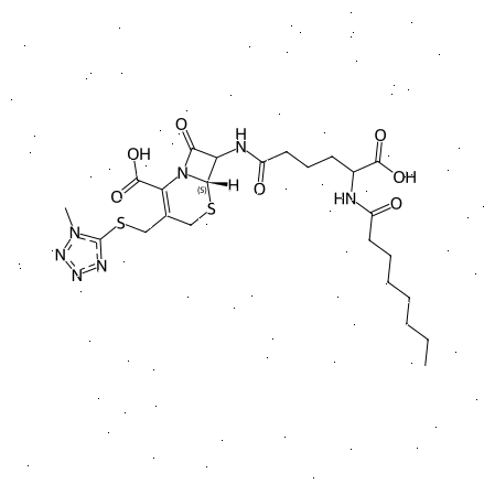 CCCCCCCC(=O)NC(CCCC(=O)NC1C(=O)N2C(C(=O)O)=C(CSc3nnnn3C)CS[C@@H]12)C(=O)O